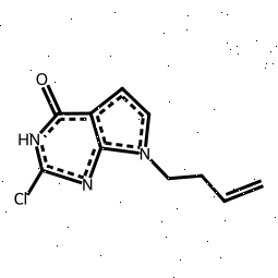 C=CCCn1ccc2c(=O)[nH]c(Cl)nc21